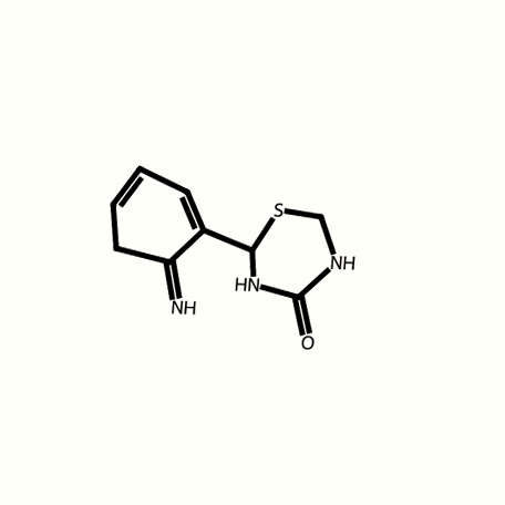 N=C1CC=CC=C1C1NC(=O)NCS1